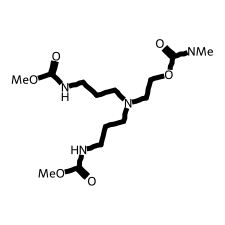 CNC(=O)OCCN(CCCNC(=O)OC)CCCNC(=O)OC